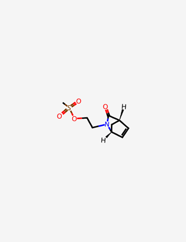 CS(=O)(=O)OCCN1C(=O)[C@@H]2C=C[C@H]1C2